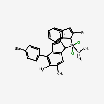 CC1=Cc2c(cc(C)c(C)c2-c2ccc(C(C)(C)C)cc2)[CH]1[Zr]([Cl])([Cl])([CH]1C(C(C)C)=Cc2ccccc21)[SiH](C)C